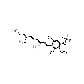 CC(/C=C/c1c(Cl)cc(OC(F)(F)F)c(C)c1Cl)=C\C=C\C(C)=C\CO